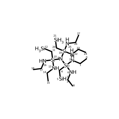 CCN[Si](C[SiH3])(NCC)N([Si](C[SiH3])(NCC)NCC)[Si](C[SiH3])(NCC)NCC